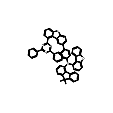 CC1(C)c2ccccc2-c2c(N(c3ccc(-c4ccc5oc6cccc(-c7nc(-c8ccccc8)nc(-c8ccccc8)n7)c6c5c4)cc3)c3cccc4oc5ccccc5c34)cccc21